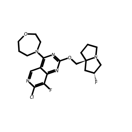 Fc1c(Cl)ncc2c(N3CCCOCC3)nc(OC[C@@]34CCCN3C[C@H](F)C4)nc12